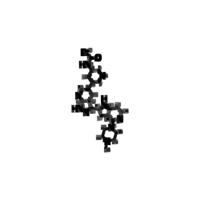 CCC(=O)Nc1cncc(-c2cnc3[nH]nc(-c4cc5c(N6CCN(C)CC6)nccc5[nH]4)c3c2)c1